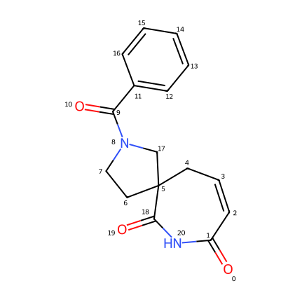 O=C1C=CCC2(CCN(C(=O)c3ccccc3)C2)C(=O)N1